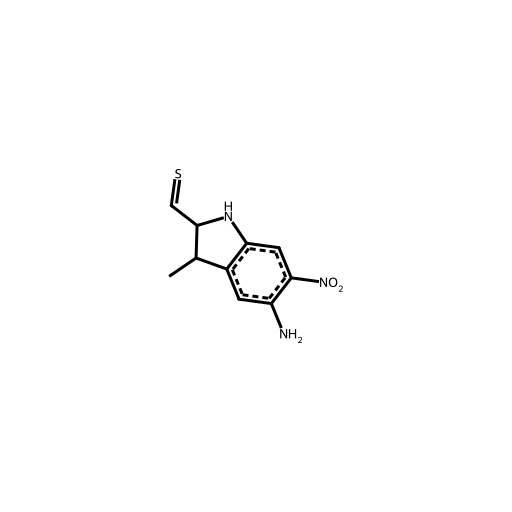 CC1c2cc(N)c([N+](=O)[O-])cc2NC1C=S